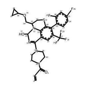 C=CC(=O)N1CCN(C2=NC(O)N3c4c2cc(C(F)(F)F)c(-c2ccc(F)cc2F)c4SCC3COC2CC2)CC1